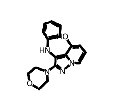 Oc1cccn2nc(N3CCOCC3)c(Nc3ccccc3)c12